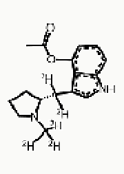 [2H]C([2H])(c1c[nH]c2cccc(OC(C)=O)c12)[C@H]1CCCN1C([2H])([2H])[2H]